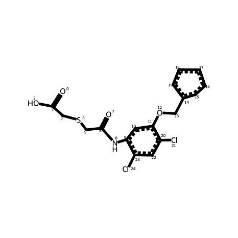 O=C(O)CSCC(=O)Nc1cc(OCc2ccccc2)c(Cl)cc1Cl